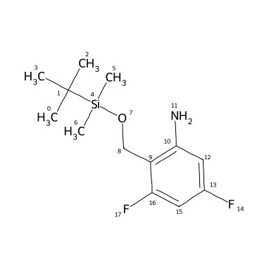 CC(C)(C)[Si](C)(C)OCc1c(N)cc(F)cc1F